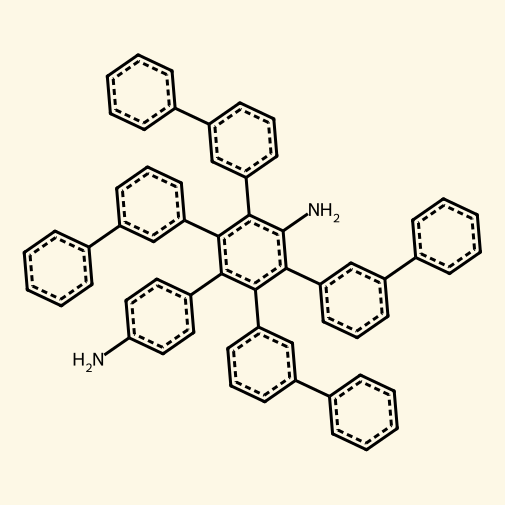 Nc1ccc(-c2c(-c3cccc(-c4ccccc4)c3)c(-c3cccc(-c4ccccc4)c3)c(N)c(-c3cccc(-c4ccccc4)c3)c2-c2cccc(-c3ccccc3)c2)cc1